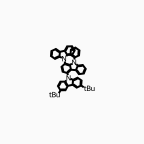 CC(C)(C)c1ccc2c(c1)c1cc(C(C)(C)C)ccc1n2-c1ccc(-n2c3ccccc3c3ccccc32)c2c1c1ccccc1n2-c1ccccc1